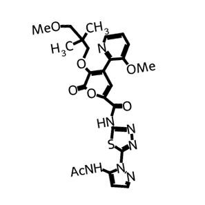 COCC(C)(C)COc1c(-c2ncccc2OC)cc(C(=O)Nc2nnc(-n3nccc3NC(C)=O)s2)oc1=O